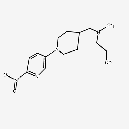 CN(CCO)CC1CCN(c2ccc([N+](=O)[O-])nc2)CC1